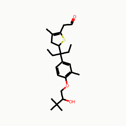 CCC(CC)(c1ccc(OCC(O)C(C)(C)C)c(C)c1)C1CC(C)=C(CC=O)S1